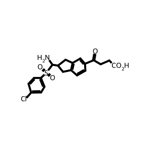 NC(C1Cc2ccc(C(=O)CCC(=O)O)cc2C1)S(=O)(=O)c1ccc(Cl)cc1